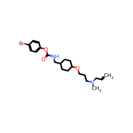 C=CCN(C)CCCOC1CCC(CNC(=O)Oc2ccc(Br)cc2)CC1